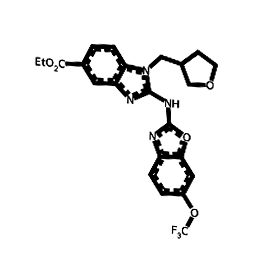 CCOC(=O)c1ccc2c(c1)nc(Nc1nc3ccc(OC(F)(F)F)cc3o1)n2CC1CCOC1